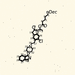 CCCCCCCCCCCCCCC(=O)OC(C)N1C(=O)Cc2cc(CCN3CCN(c4nsc5ccccc45)CC3)c(Cl)cc21